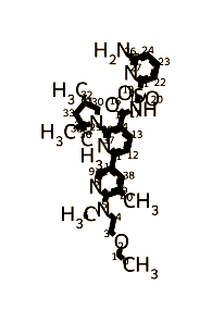 CCOCCN(C)c1ncc(-c2ccc(C(=O)NS(=O)(=O)c3cccc(N)n3)c(N3C[C@@H](C)CC3(C)C)n2)cc1C